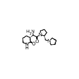 NC(C(=O)N1CCC[C@H]1CN1CCCC1)[C@@H]1CCCNC1=O